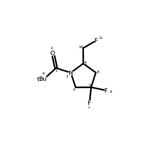 CC(C)(C)C(=O)N1CC(F)(F)CC1CF